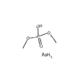 COP(=O)(O)OC.[AsH3]